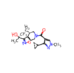 C[C@H]1CN(C(=O)c2cn(C)nc2C2CC2)Cc2onc([C@@](C)(O)C(F)(F)F)c21